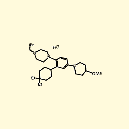 CCC1(CC)CCC(c2cc(N3CCC(OC)CC3)ccc2N2CCN(CC(C)C)CC2)CC1.Cl